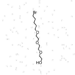 OCCOCCOCCOCCCCCBr